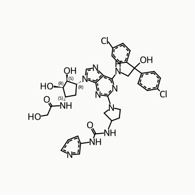 O=C(CO)N[C@H]1C[C@@H](n2cnc3c(NCC(O)(c4ccc(Cl)cc4)c4ccc(Cl)cc4)nc(N4CCC(NC(=O)Nc5cccnc5)C4)nc32)[C@H](O)[C@@H]1O